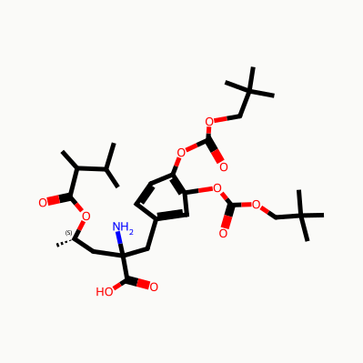 CC(C)C(C)C(=O)O[C@@H](C)CC(N)(Cc1ccc(OC(=O)OCC(C)(C)C)c(OC(=O)OCC(C)(C)C)c1)C(=O)O